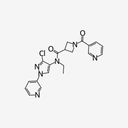 CCN(C(=O)C1CN(C(=O)c2cccnc2)C1)c1cn(-c2cccnc2)nc1Cl